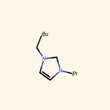 CCC(C)CN1C=CN(C(C)C)C1